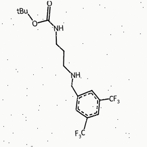 CC(C)(C)OC(=O)NCCCNCc1cc(C(F)(F)F)cc(C(F)(F)F)c1